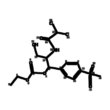 CCOC(=O)OC(c1ccc(S(C)(=O)=O)cc1)C(CO)NC(=O)C(Cl)Cl